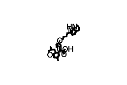 Cc1cc2c(c([C@H](C(=O)O)N3CC[C@@H](OCCCCc4ccc5c(n4)NCCC5)C3)c1)CC(C)CO2